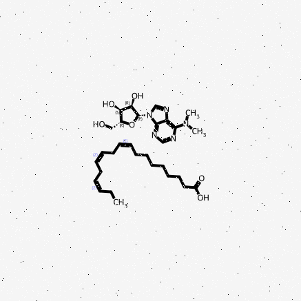 CC/C=C\C/C=C\C/C=C\CCCCCCCC(=O)O.CN(C)c1ncnc2c1ncn2[C@@H]1O[C@H](CO)[C@@H](O)[C@H]1O